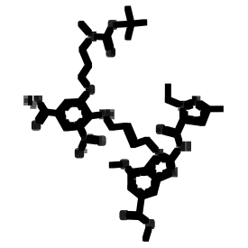 CCn1nc(C)cc1C(=O)Nc1nc2cc(C(=O)OC)cc(OC)c2n1CC=CCNc1c(OCCCN(C)C(=O)OC(C)(C)C)cc(C(N)=O)cc1[N+](=O)[O-]